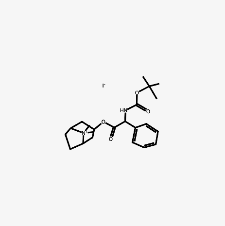 CC(C)(C)OC(=O)NC(C(=O)OC1CC2CCC(C1)[N+]2(C)C)c1ccccc1.[I-]